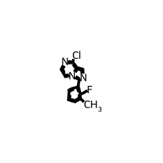 Cc1cccc(-c2ncc3c(Cl)nccn23)c1F